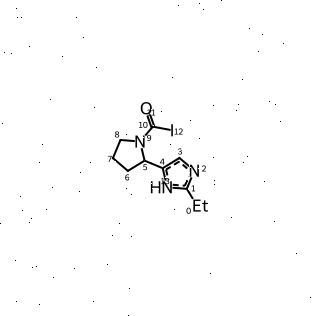 CCc1ncc(C2CCCN2C(=O)I)[nH]1